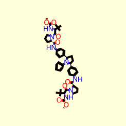 COC(=O)N[C@H](C(=O)N1CCC[C@H]1C(=O)Nc1ccc([C@H]2CC[C@@H](c3ccc(NC(=O)[C@@H]4CCCN4C(=O)[C@@H](NC(=O)OC)C(C)(C)C)cc3)N2c2ccccc2)cc1)C(C)(C)C